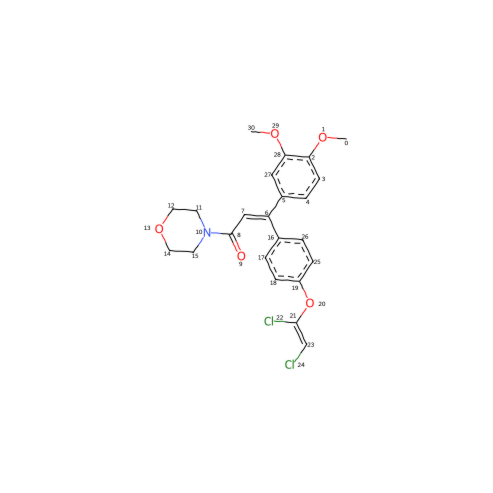 COc1ccc(C(=CC(=O)N2CCOCC2)c2ccc(OC(Cl)=CCl)cc2)cc1OC